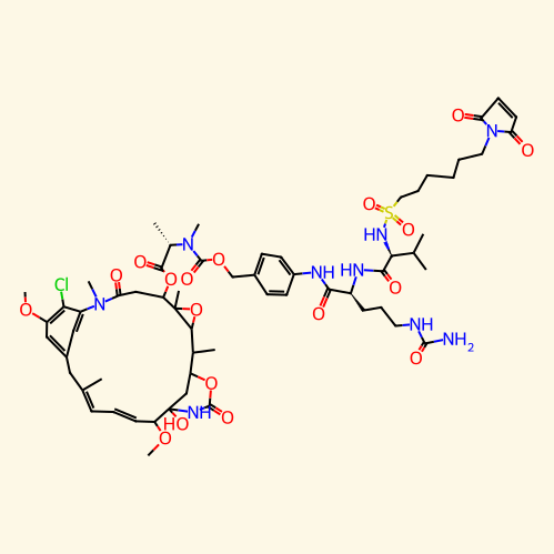 COc1cc2cc(c1Cl)N(C)C(=O)CC(OC(=O)[C@H](C)N(C)C(=O)OCc1ccc(NC(=O)[C@H](CCCNC(N)=O)NC(=O)[C@@H](NS(=O)(=O)CCCCCCN3C(=O)C=CC3=O)C(C)C)cc1)C1(C)OC1C(C)C1CC(O)(NC(=O)O1)C(OC)/C=C/C=C(\C)C2